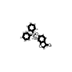 CC(C)(C)[Si](Oc1ccc2c(c1)OCC2=O)(c1ccccc1)c1ccccc1